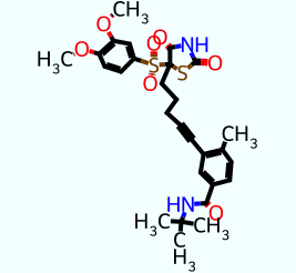 COc1ccc(S(=O)(=O)C2(CCCC#Cc3cc(C(=O)NC(C)(C)C)ccc3C)SC(=O)NC2=O)cc1OC